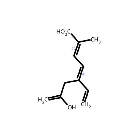 C=C/C(=C/C=C(\C)C(=O)O)CC(=C)O